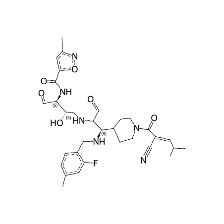 Cc1ccc(CN[C@H](C2CCN(C(=O)C(C#N)=CC(C)C)CC2)C(C=O)NC[C@H](O)[C@@H](C=O)NC(=O)c2cc(C)no2)c(F)c1